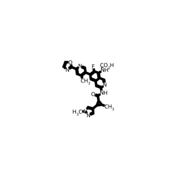 Cc1cc(-c2ncco2)ncc1-c1cc2cc(NC(=O)C3C(C)C3c3cnn(C)c3)ncc2c(NC(=O)O)c1F